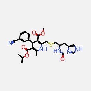 COC(=O)C1=C(CSCC(Cc2c[nH]cn2)NC=O)NC(C)=C(C(=O)OC(C)C)C1c1cccc(C#N)c1